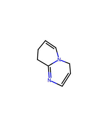 C1=CN2CC=CN=C2CC1